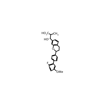 COc1ccc(F)c(-c2ccc(C3CCc4ccc([C@H](O)C(C)C(=O)O)cc4O3)cc2)c1